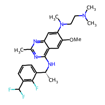 COc1cc2c(N[C@H](C)c3cccc(C(F)F)c3F)nc(C)nc2cc1N(C)CCN(C)C